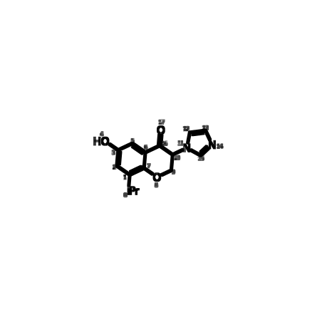 CC(C)c1cc(O)cc2c1OCC(n1ccnc1)C2=O